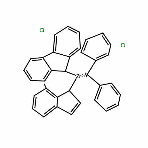 Cc1cccc2c1[CH]([Zr+2](=[C](c1ccccc1)c1ccccc1)[CH]1c3ccccc3-c3ccccc31)C=C2.[Cl-].[Cl-]